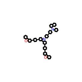 c1ccc(N(c2ccc(-c3ccc(-n4c5ccc(-c6ccc(-c7ccc8oc9ccccc9c8c7)cc6)cc5c5cc(-c6ccc(-c7ccc8oc9ccccc9c8c7)cc6)ccc54)cc3)cc2)c2cccc3ccccc23)cc1